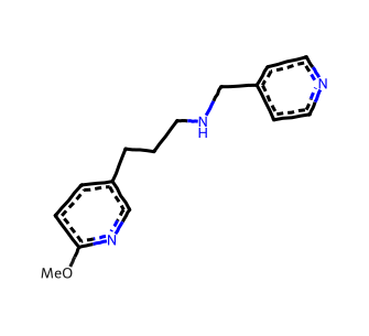 COc1ccc(CCCNCc2ccncc2)cn1